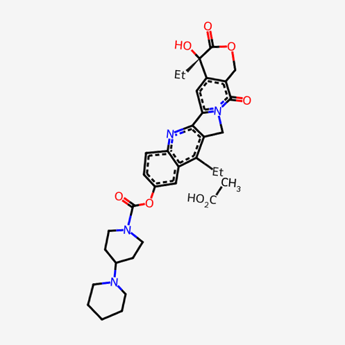 CC(=O)O.CCc1c2c(nc3ccc(OC(=O)N4CCC(N5CCCCC5)CC4)cc13)-c1cc3c(c(=O)n1C2)COC(=O)[C@]3(O)CC